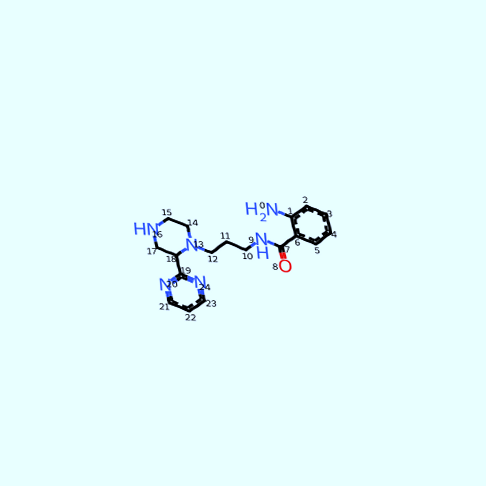 Nc1ccccc1C(=O)NCCCN1CCNCC1c1ncccn1